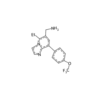 CCc1c(CN)cc(-c2ccc(OC(F)(F)F)cc2)c2nccn12